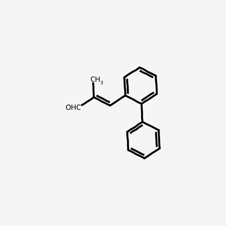 CC(C=O)=Cc1ccccc1-c1ccccc1